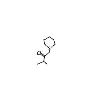 CC(C)C(=O)C[S+]1CCCCC1